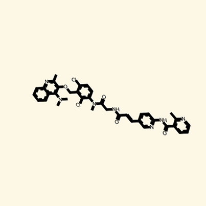 Cc1ncccc1C(=O)Nc1ccc(/C=C/C(=O)NCC(=O)N(C)c2ccc(Cl)c(COc3c(C)nc4ccccc4c3N(C)C)c2Cl)cn1